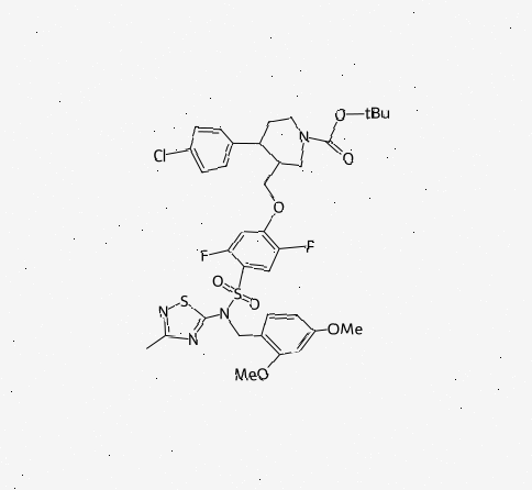 COc1ccc(CN(c2nc(C)ns2)S(=O)(=O)c2cc(F)c(OCC3CN(C(=O)OC(C)(C)C)CCC3c3ccc(Cl)cc3)cc2F)c(OC)c1